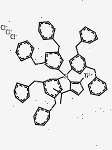 CC(C)C1=CC[C]([Ti+3])=C1[Si](c1cc(Cc2ccccc2)cc(Cc2ccccc2)c1)(c1cc(Cc2ccccc2)cc(Cc2ccccc2)c1)c1cc(Cc2ccccc2)cc(Cc2ccccc2)c1.[Cl-].[Cl-].[Cl-]